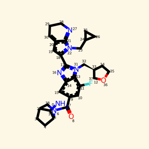 NC1C2CCC1N(C(=O)c1cc(F)c3c(c1)nc(-c1cc4c(n1CC1CC1)=NCCC=4)n3C[C@H]1CCOC1)C2